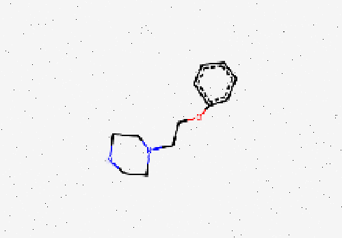 c1ccc(OCCN2CC[N]CC2)cc1